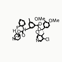 COc1ccc([C@H](Cc2c(Cl)cncc2Cl)OC(=O)c2cc(C)cc(CN(C(=O)O[C@H]3CN4CCC3CC4)c3ccccc3F)c2)cc1OC